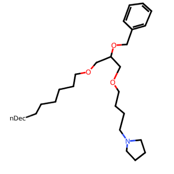 CCCCCCCCCCCCCCCCOCC(COCCCCN1CCCC1)OCc1ccccc1